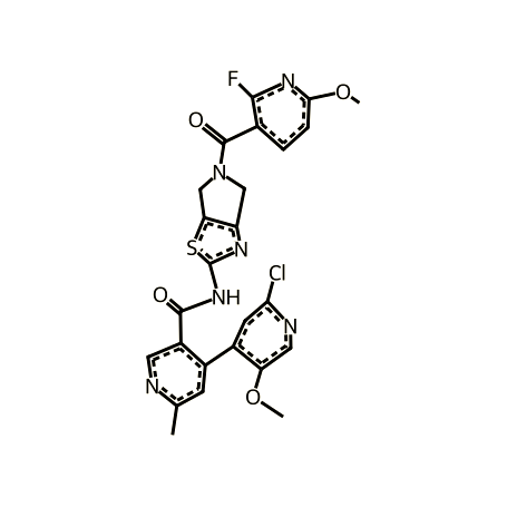 COc1ccc(C(=O)N2Cc3nc(NC(=O)c4cnc(C)cc4-c4cc(Cl)ncc4OC)sc3C2)c(F)n1